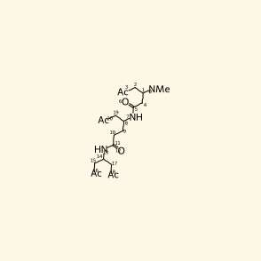 CNC(CC(C)=O)CC(=O)NC(CCC(=O)NC(CC(C)=O)CC(C)=O)CC(C)=O